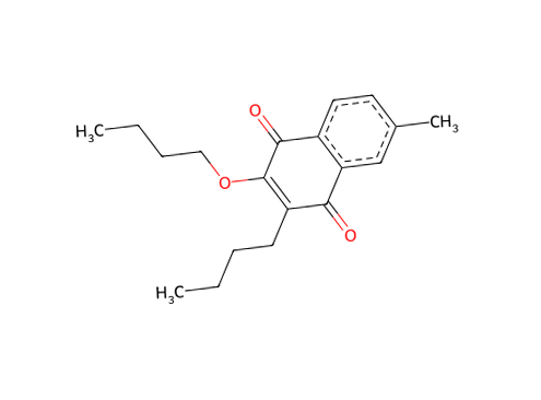 CCCCOC1=C(CCCC)C(=O)c2cc(C)ccc2C1=O